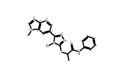 CCn1c(SC(C)C(=O)Nc2ccccc2)nnc1-c1cnc2ncn(C)c2c1